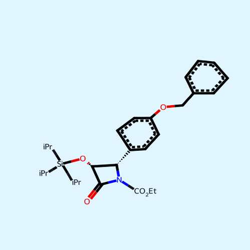 CCOC(=O)N1C(=O)[C@H](O[Si](C(C)C)(C(C)C)C(C)C)[C@@H]1c1ccc(OCc2ccccc2)cc1